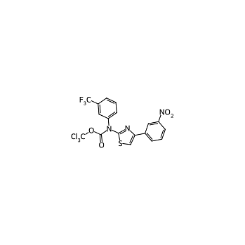 O=C(OC(Cl)(Cl)Cl)N(c1cccc(C(F)(F)F)c1)c1nc(-c2cccc([N+](=O)[O-])c2)cs1